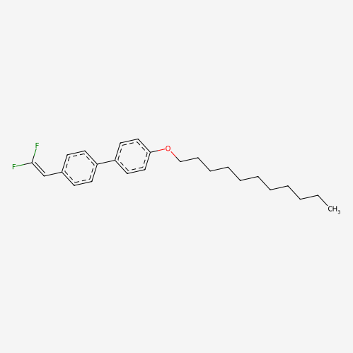 CCCCCCCCCCCOc1ccc(-c2ccc(C=C(F)F)cc2)cc1